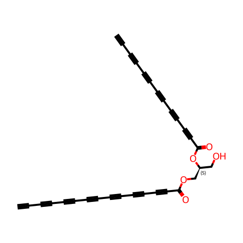 C#CC#CC#CC#CC#CC#CC#CC(=O)OC[C@H](CO)OC(=O)C#CC#CC#CC#CC#CC#C